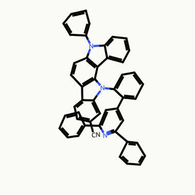 N#Cc1ccc2c3ccc4c(c5ccccc5n4-c4ccccc4)c3n(-c3ccccc3-c3cc(-c4ccccc4)nc(-c4ccccc4)c3)c2c1